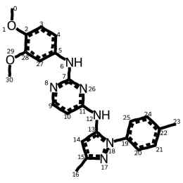 COc1ccc(Nc2nccc(Nc3cc(C)nn3-c3ccc(C)cc3)n2)cc1OC